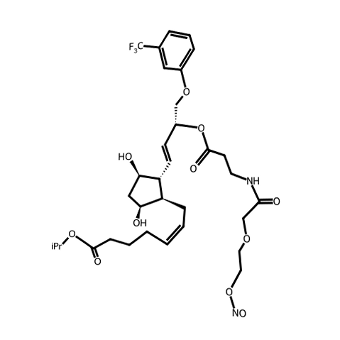 CC(C)OC(=O)CCC/C=C\C[C@@H]1[C@@H](/C=C/[C@H](COc2cccc(C(F)(F)F)c2)OC(=O)CCNC(=O)COCCON=O)[C@H](O)C[C@@H]1O